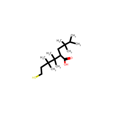 CC(C)C(C)(C)CC(C(=O)O)C(C)(C)C(C)(C)CCS